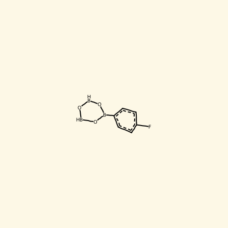 Fc1ccc(B2OBOBO2)cc1